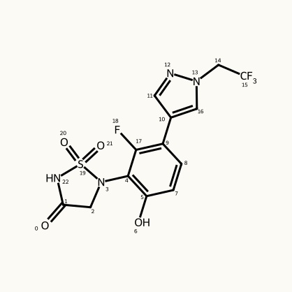 O=C1CN(c2c(O)ccc(-c3cnn(CC(F)(F)F)c3)c2F)S(=O)(=O)N1